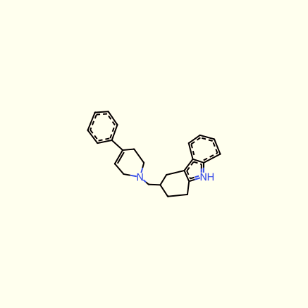 C1=C(c2ccccc2)CCN(CC2CCc3[nH]c4ccccc4c3C2)C1